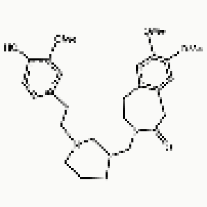 COc1cc(CCN2CCCC(CN3CCc4cc(OC)c(OC)cc4CC3=O)C2)ccc1O